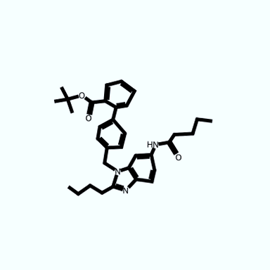 CCCCC(=O)Nc1ccc2nc(CCCC)n(Cc3ccc(-c4ccccc4C(=O)OC(C)(C)C)cc3)c2c1